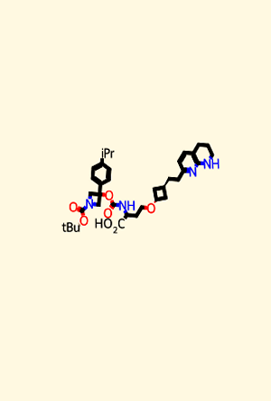 CC(C)c1ccc(C2(OC(=O)NC(CCO[C@H]3C[C@H](CCc4ccc5c(n4)NCCC5)C3)C(=O)O)CN(C(=O)OC(C)(C)C)C2)cc1